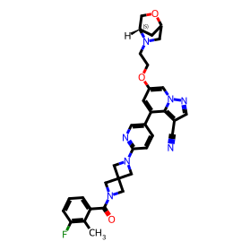 Cc1c(F)cccc1C(=O)N1CC2(C1)CN(c1ccc(-c3cc(OCCN4CC5C[C@H]4CO5)cn4ncc(C#N)c34)cn1)C2